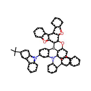 CC(C)(C)c1ccc2c(c1)c1ccccc1n2-c1ccc2c(c1)N(c1ccccc1-c1ccccc1)c1cc(-c3ccccc3)cc3c1B2c1c(c2oc4ccccc4c2c2c1oc1ccccc12)O3